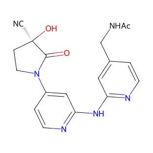 CC(=O)NCc1ccnc(Nc2cc(N3CC[C@](O)(C#N)C3=O)ccn2)c1